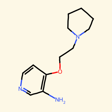 Nc1cnccc1OCCN1CCCCC1